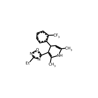 CCc1noc(C2=C(C)NC(C)=CC2c2ccccc2C(F)(F)F)n1